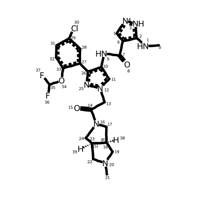 CNc1[nH]ncc1C(=O)Nc1cn(CC(=O)N2C[C@H]3CN(C)C[C@H]3C2)nc1-c1cc(Cl)ccc1OC(F)F